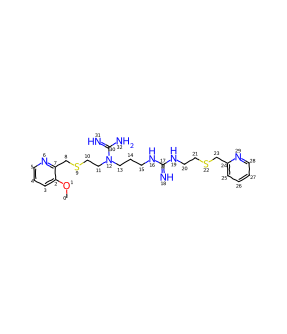 COc1cccnc1CSCCN(CCCNC(=N)NCCSCc1ccccn1)C(=N)N